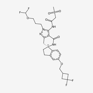 CS(=O)(=O)CC(=O)Nc1c2c(nn1CCCOC(F)F)C[C@]1(CCc3cc(OCC4CC(F)(F)C4)ccc31)NC2=O